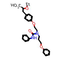 CCOC(Cc1ccc(OCCN(CCCOc2ccccc2)C(=O)Nc2ccccc2)cc1)C(=O)O